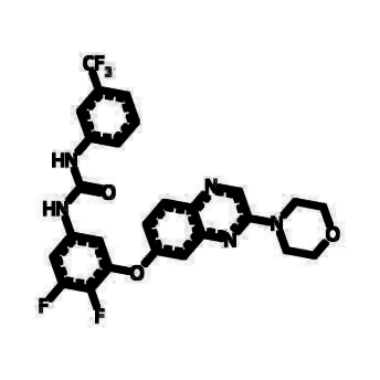 O=C(Nc1cccc(C(F)(F)F)c1)Nc1cc(F)c(F)c(Oc2ccc3ncc(N4CCOCC4)nc3c2)c1